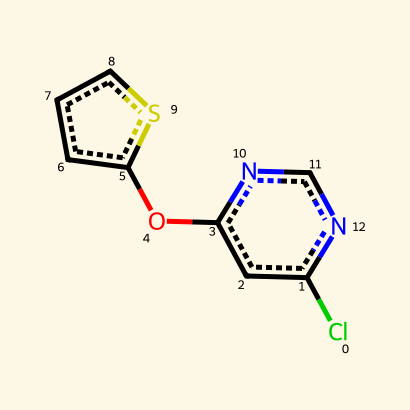 Clc1cc(Oc2cccs2)ncn1